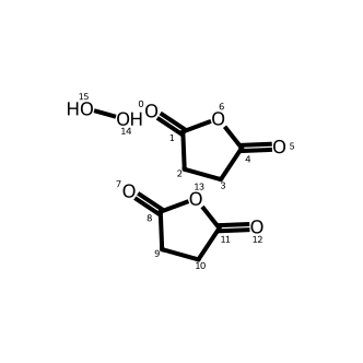 O=C1CCC(=O)O1.O=C1CCC(=O)O1.OO